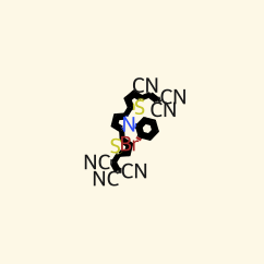 N#CC(C#N)=C(C#N)c1ccc(-c2ccc(-c3ccc(C(C#N)=C(C#N)C#N)s3)n2-c2ccccc2Br)s1